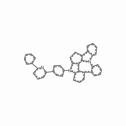 c1ccc(-c2cccc(-c3ccc(-n4c5cccc6c7ccccc7n7c8ccccc8c8ccc4c(c65)c87)cc3)n2)cc1